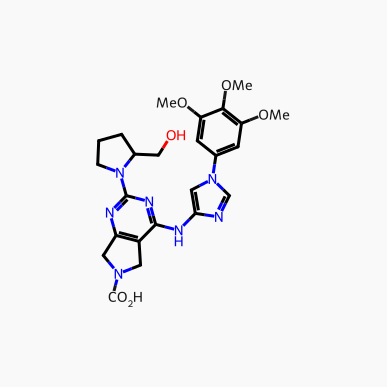 COc1cc(-n2cnc(Nc3nc(N4CCCC4CO)nc4c3CN(C(=O)O)C4)c2)cc(OC)c1OC